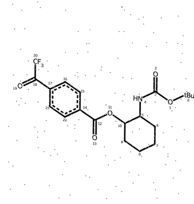 CC(C)(C)OC(=O)NC1CCCCC1OC(=O)c1ccc(C(=O)C(F)(F)F)cc1